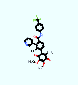 COC1=C(OC)C(=O)C(c2ccc(C(=O)Nc3ccc(C(F)(F)F)cc3)c(-c3cccnc3)c2C)=C(C)C1=O